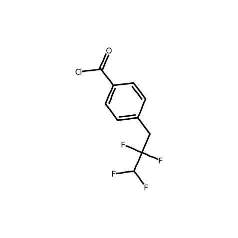 O=C(Cl)c1ccc(CC(F)(F)C(F)F)cc1